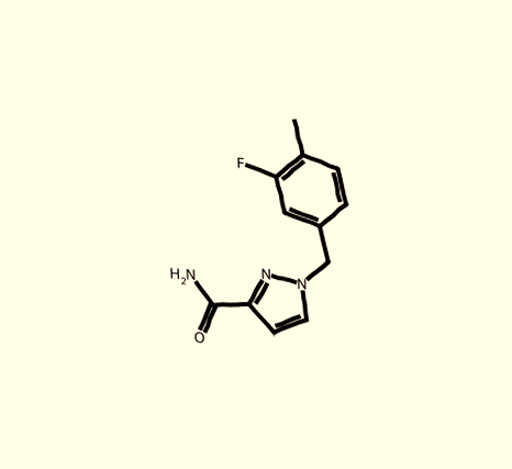 Cc1ccc(Cn2c[c]c(C(N)=O)n2)cc1F